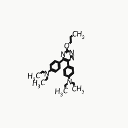 CCCOc1nnc(-c2ccc(N(CC)CC)cc2)c(-c2ccc(N(CC)CC)cc2)n1